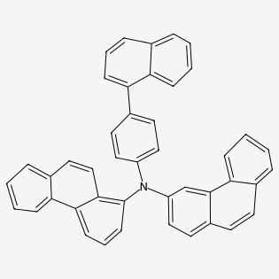 c1ccc2c(-c3ccc(N(c4ccc5ccc6ccccc6c5c4)c4cccc5c4ccc4ccccc45)cc3)cccc2c1